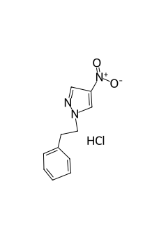 Cl.O=[N+]([O-])c1cnn(CCc2ccccc2)c1